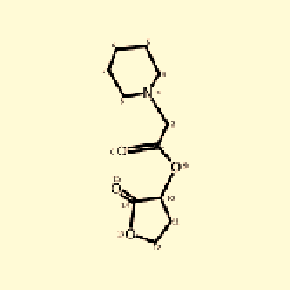 O=C(CN1CCCCC1)OC1CCOC1=O